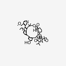 CCn1c(-c2cnccc2COC)c2c3cc(ccc31)-c1cc(O)cc(c1)C[C@H](NC(=O)C(C(C)C)N(C)C(=O)C1(C)COC1)C(=O)N1CCC[C@H](N1)C(=O)OCC(C)(C)C2